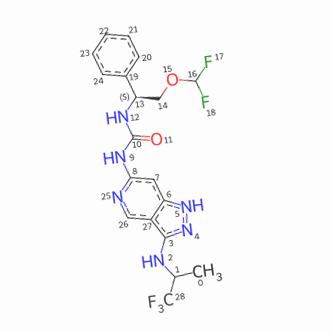 CC(Nc1n[nH]c2cc(NC(=O)N[C@H](COC(F)F)c3ccccc3)ncc12)C(F)(F)F